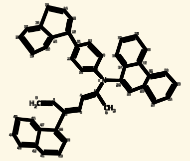 C=C/C(=C\C=C(/C)N(c1ccc(-c2cccc3ccccc23)cc1)c1cc2ccccc2c2ccccc12)c1cccc2ccccc12